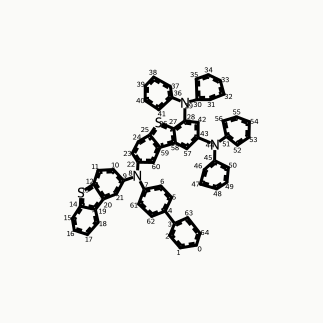 c1ccc(-c2ccc(N(c3ccc4sc5ccccc5c4c3)c3ccc4sc5c(N(c6ccccc6)c6ccccc6)cc(N(c6ccccc6)c6ccccc6)cc5c4c3)cc2)cc1